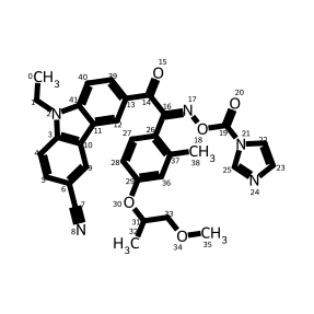 CCn1c2ccc(C#N)cc2c2cc(C(=O)/C(=N/OC(=O)n3ccnc3)c3ccc(OC(C)COC)cc3C)ccc21